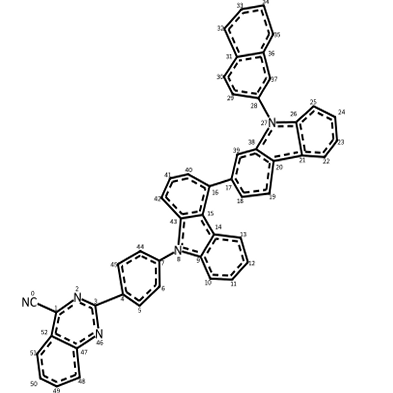 N#Cc1nc(-c2ccc(-n3c4ccccc4c4c(-c5ccc6c7ccccc7n(-c7ccc8ccccc8c7)c6c5)cccc43)cc2)nc2ccccc12